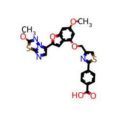 COc1cc(OCc2csc(-c3ccc(C(=O)O)cc3)n2)c2cc(-c3cnc4sc(OC)nn34)oc2c1